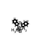 C1=C[CH]([Zr][CH]2C=Cc3ccccc32)c2ccccc21.C[Si](C)(Cl)Cl